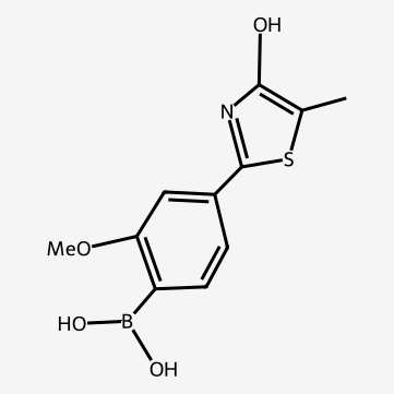 COc1cc(-c2nc(O)c(C)s2)ccc1B(O)O